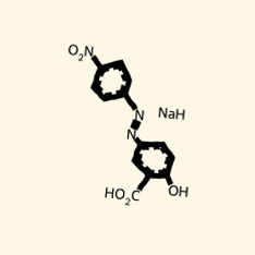 O=C(O)c1cc(N=Nc2ccc([N+](=O)[O-])cc2)ccc1O.[NaH]